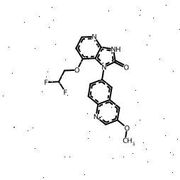 COc1cnc2ccc(-n3c(=O)[nH]c4nccc(OCC(F)F)c43)cc2c1